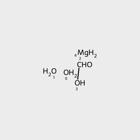 O.O.O=CO.[MgH2]